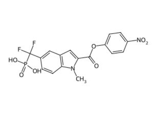 Cn1c(C(=O)Oc2ccc([N+](=O)[O-])cc2)cc2cc(C(F)(F)P(=O)(O)O)ccc21